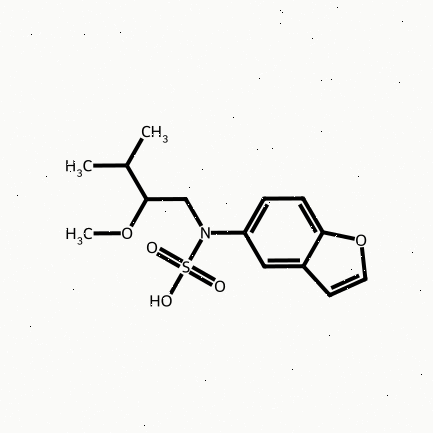 COC(CN(c1ccc2occc2c1)S(=O)(=O)O)C(C)C